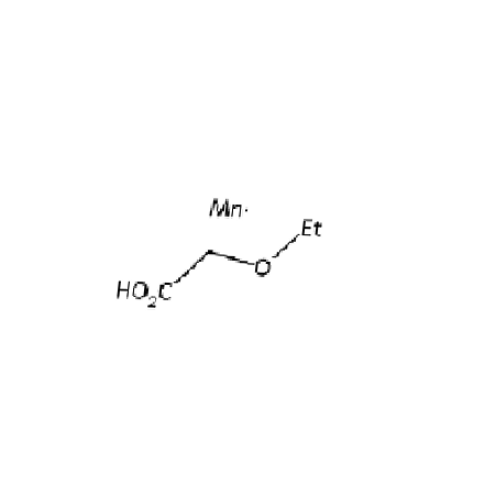 CCOCC(=O)O.[Mn]